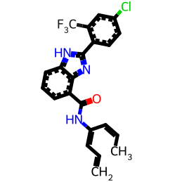 C=C/C=C(\C=C/C)NC(=O)c1cccc2[nH]c(-c3ccc(Cl)cc3C(F)(F)F)nc12